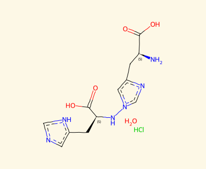 Cl.N[C@@H](Cc1cn(N[C@@H](Cc2cnc[nH]2)C(=O)O)cn1)C(=O)O.O